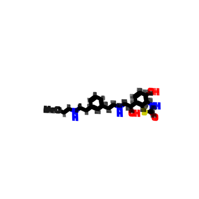 COCCNCCc1cccc(CCNCC(O)c2ccc(O)c3[nH]c(=O)sc23)c1